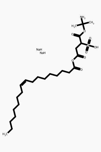 CCCCCCCC/C=C\CCCCCCCC(=O)OC(=O)CC(C(=O)OC(C)(C)N)S(=O)(=O)O.[NaH].[NaH]